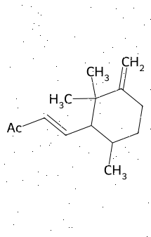 C=C1CCC(C)C(C=CC(C)=O)C1(C)C